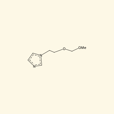 COCOCCn1ccnc1